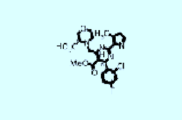 COC(=O)C1=C(CN2CCOC[C@H]2C(=O)O)NC(C2=C(C)CC=N2)=N[C@H]1c1ccc(F)cc1Cl